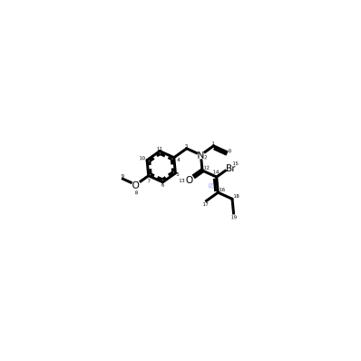 C=CN(Cc1ccc(OC)cc1)C(=O)/C(Br)=C(\C)CC